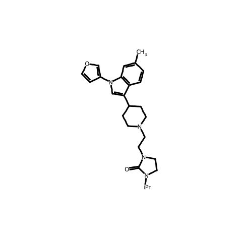 Cc1ccc2c(C3CCN(CCN4CCN(C(C)C)C4=O)CC3)cn(-c3ccoc3)c2c1